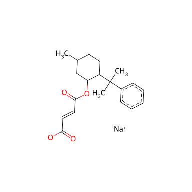 CC1CCC(C(C)(C)c2ccccc2)C(OC(=O)C=CC(=O)[O-])C1.[Na+]